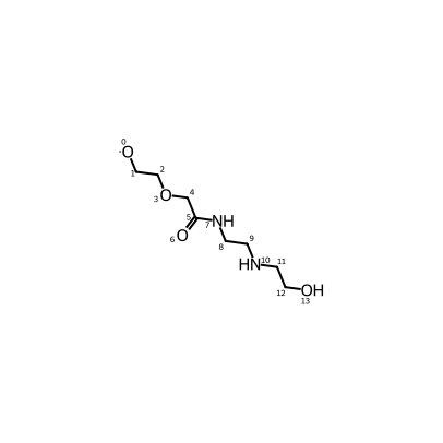 [O]CCOCC(=O)NCCNCCO